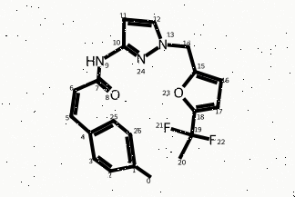 Cc1ccc(/C=C\C(=O)Nc2ccn(Cc3ccc(C(C)(F)F)o3)n2)cc1